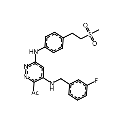 CC(=O)c1nnc(Nc2ccc(CCS(C)(=O)=O)cc2)cc1NCc1cccc(F)c1